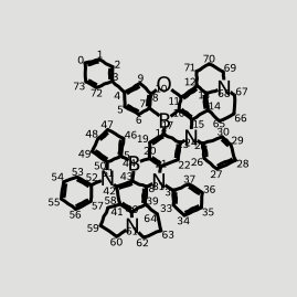 c1ccc(-c2ccc3c(c2)Oc2c4c5c(c6c2B3c2cc3c(cc2N6c2ccccc2)N(c2ccccc2)c2c6c7c(c8c2B3c2ccccc2N8c2ccccc2)CCCN7CCC6)CCCN5CCC4)cc1